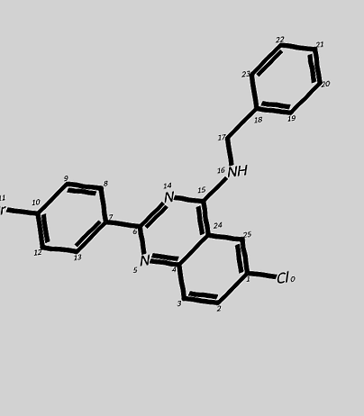 Clc1ccc2nc(-c3ccc(Br)cc3)nc(NCc3ccccc3)c2c1